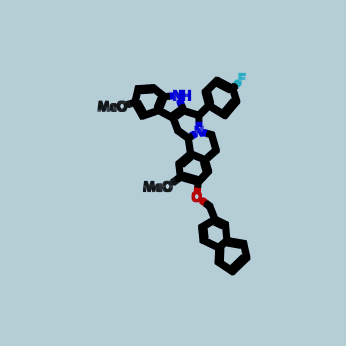 COc1ccc2[nH]c3c(c2c1)CC1c2cc(OC)c(OCc4ccc5ccccc5c4)cc2CCN1C3c1ccc(F)cc1